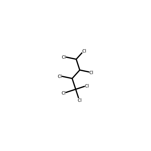 ClC(Cl)C(Cl)C(Cl)C(Cl)(Cl)Cl